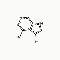 CC(C)c1c[nH]c2cnnc(C(C)C)c12